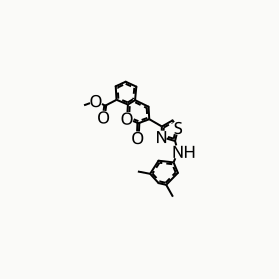 COC(=O)c1cccc2cc(-c3csc(Nc4cc(C)cc(C)c4)n3)c(=O)oc12